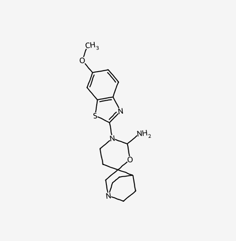 COc1ccc2nc(N3CCC4(CN5CCC4CC5)OC3N)sc2c1